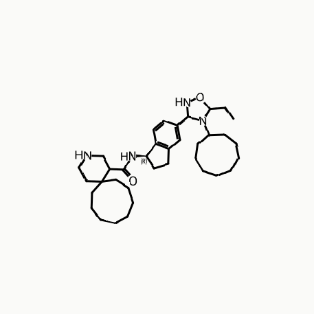 CCC1ONC(c2ccc3c(c2)CC[C@H]3NC(=O)C2CNCCC23CCCCCCCC3)N1C1CCCCCCCC1